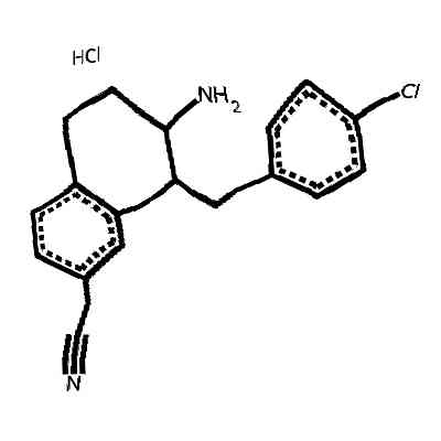 Cl.N#Cc1ccc2c(c1)C(Cc1ccc(Cl)cc1)C(N)CC2